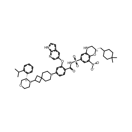 CC(C)c1ccccc1[C@H]1COCCN1C1CC2(CCN(c3ccc(C(=O)NS(=O)(=O)c4cc5c(c([N+](=O)[O-])c4)O[C@@H](CC4CCC(C)(C)CC4)CN5)c(Oc4cnc5[nH]ccc5c4)c3)CC2)C1